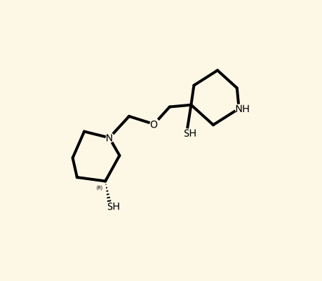 S[C@@H]1CCCN(COCC2(S)CCCNC2)C1